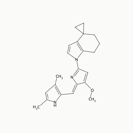 COC1=CC(n2ccc3c2CCCC32CC2)=NC1=Cc1[nH]c(C)cc1C